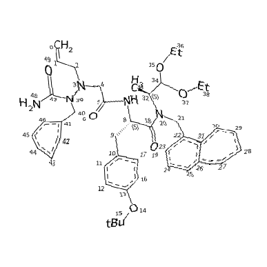 C=CCN(CC(=O)N[C@@H](Cc1ccc(OC(C)(C)C)cc1)C(=O)N(Cc1cccc2ccccc12)[C@@H](C)C(OCC)OCC)N(Cc1ccccc1)C(N)=O